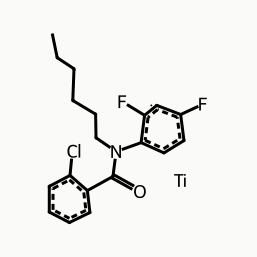 CCCCCCN(C(=O)c1ccccc1Cl)c1ccc(F)[c]c1F.[Ti]